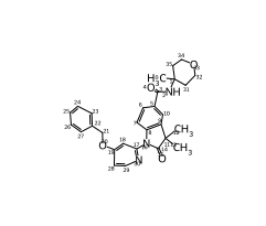 CC1(NC(=O)c2ccc3c(c2)C(C)(C)C(=O)N3c2cc(OCc3ccccc3)ccn2)CCOCC1